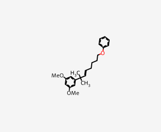 COc1cc(OC)cc(C(C)(C)C=CCCCCOc2ccccc2)c1